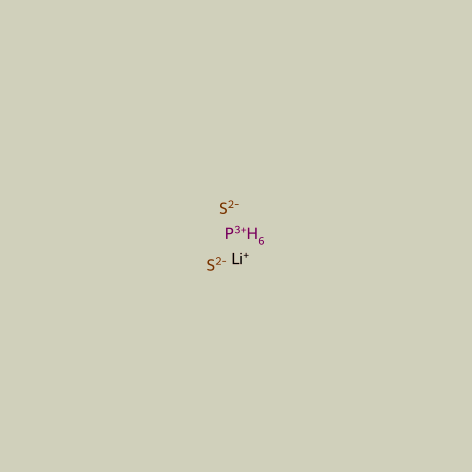 [Li+].[PH6+3].[S-2].[S-2]